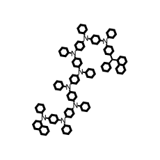 c1ccc(C(c2ccc(N(c3ccccc3)c3ccc(N(c4ccccc4)c4ccc(N(c5ccccc5)c5ccc(N(c6ccccc6)c6ccc(N(c7ccccc7)c7ccc(N(c8ccccc8)c8ccc(N(c9ccccc9)c9ccc(N(c%10ccccc%10)c%10cccc%11ccccc%10%11)cc9)cc8)cc7)cc6)cc5)cc4)cc3)cc2)c2cccc3ccccc23)cc1